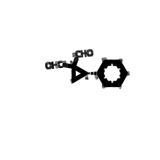 O=CC1(C=O)C[C@H]1c1ccccc1